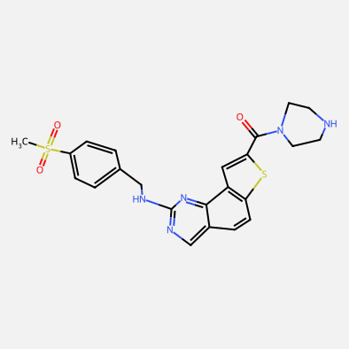 CS(=O)(=O)c1ccc(CNc2ncc3ccc4sc(C(=O)N5CCNCC5)cc4c3n2)cc1